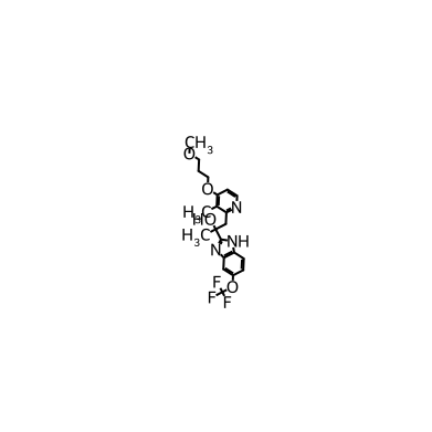 COCCCOc1ccnc(CC(C)(O)c2nc3cc(OC(F)(F)F)ccc3[nH]2)c1C